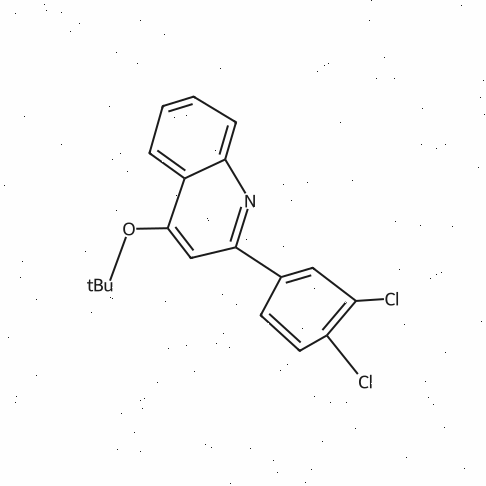 CC(C)(C)Oc1cc(-c2ccc(Cl)c(Cl)c2)nc2ccccc12